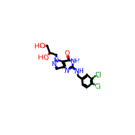 O=c1[nH]c(NCc2ccc(Cl)c(Cl)c2)nc2cnn(CC(O)CO)c12